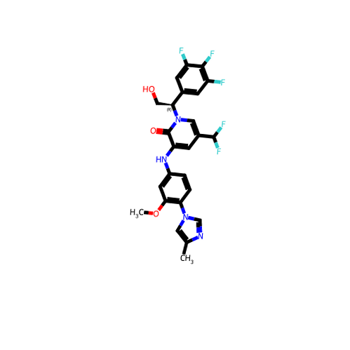 COc1cc(Nc2cc(C(F)F)cn([C@@H](CO)c3cc(F)c(F)c(F)c3)c2=O)ccc1-n1cnc(C)c1